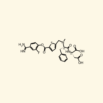 CN(Cc1ccc(C(=O)Oc2ccc(C(=N)N)cc2F)s1)[C@@H](Cc1ccccc1)C(=O)N[C@@H](CC(=O)O)C(=O)O